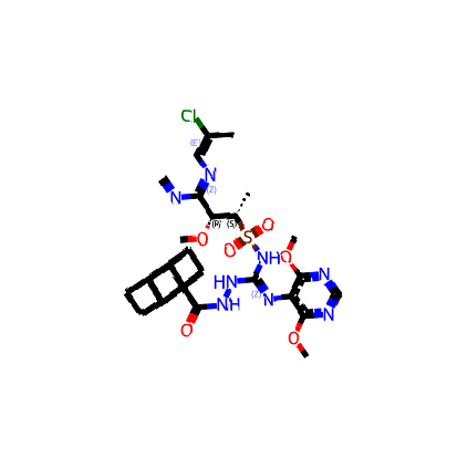 C=N/C(=N\C=C(/C)Cl)[C@@H](OC)[C@H](C)S(=O)(=O)N/C(=N\c1c(OC)ncnc1OC)NNC(=O)C12C3C4C5C3C1C5C42